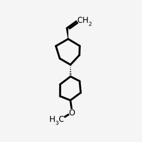 C=C[C@H]1CC[C@H](C2CCC(OC)CC2)CC1